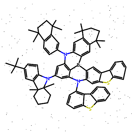 CC(C)(C)c1ccc2c(c1)C1(C)CCCCC1(C)N2c1cc2c3c(c1)N(c1cccc4sc5ccccc5c14)c1cc4sc5ccccc5c4cc1B3c1cc3c(cc1N2c1ccc2c(c1)C(C)(C)CCC2(C)C)C(C)(C)CCC3(C)C